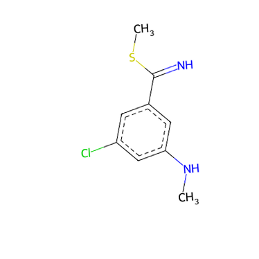 CNc1cc(Cl)cc(C(=N)SC)c1